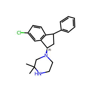 CC1(C)CN([C@@H]2CC(c3ccccc3)c3ccc(Cl)cc32)CCN1